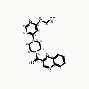 O=C(c1cnc2ccccc2n1)N1CCN(c2cc(OCC(F)(F)F)ncn2)CC1